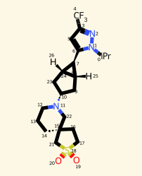 CC(C)n1nc(C(F)(F)F)cc1[C@H]1[C@@H]2C[C@H](N3CCC[C@@]4(CCS(=O)(=O)C4)C3)C[C@@H]21